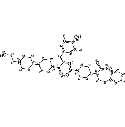 Cc1cc(C[C@@H](OC(=O)N2CCC(N3CCc4ccccc4NC3=O)CC2)C(=O)N2CCC(C3CCN(CCO)CC3)CC2)cc(C)c1O